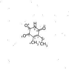 CSC1=C(C)C(=O)C(=O)NC1=O